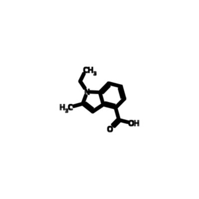 CCn1c(C)cc2c(C(=O)O)cccc21